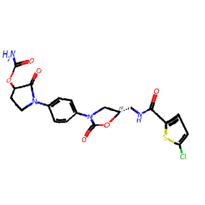 NC(=O)OC1CCN(c2ccc(N3C[C@H](CNC(=O)c4ccc(Cl)s4)OC3=O)cc2)C1=O